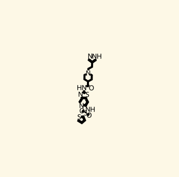 O=C(Nc1nc2cnc(NS(=O)(=O)c3cccs3)cc2s1)C1CCN(CCc2cn[nH]c2)CC1